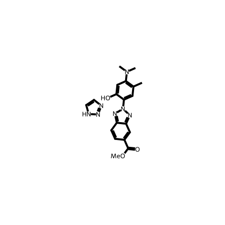 COC(=O)c1ccc2nn(-c3cc(C)c(N(C)C)cc3O)nc2c1.c1c[nH]nn1